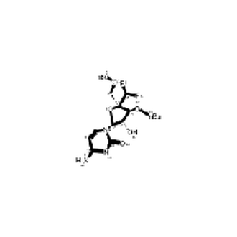 CCCCOC[C@@]1(C(F)F)O[C@@H](n2ccc(N)nc2=O)[C@@H](O)[C@@H]1OCCCC